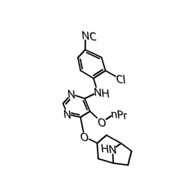 [C-]#[N+]c1ccc(Nc2ncnc(OC3CC4CCC(C3)N4)c2OCCC)c(Cl)c1